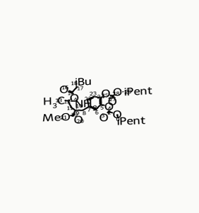 CCCC(C)OC(=O)Oc1cc(C[C@](N)(CC(C)OC(=O)CC(C)CC)C(=O)OC)ccc1OC(=O)O[C@@H](C)CCC